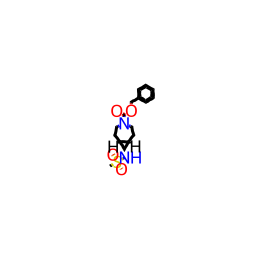 CS(=O)(=O)N[C@@H]1[C@@H]2CCN(C(=O)OCc3ccccc3)CC[C@@H]21